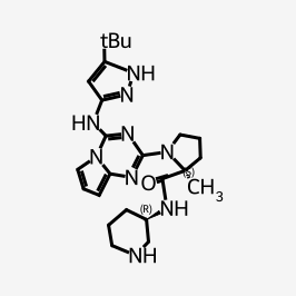 CC(C)(C)c1cc(Nc2nc(N3CCC[C@@]3(C)C(=O)N[C@@H]3CCCNC3)nc3cccn23)n[nH]1